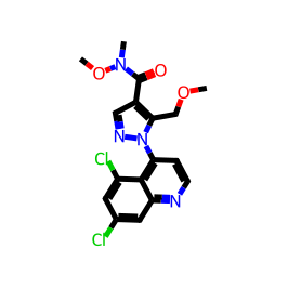 COCc1c(C(=O)N(C)OC)cnn1-c1ccnc2cc(Cl)cc(Cl)c12